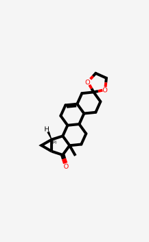 CC12CCC3C4CCC5(CC4=CCC3C1[C@H]1CC1C2=O)OCCO5